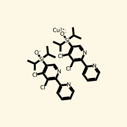 CC(C)[Si]([O-])(c1cnc(-c2ccccn2)c(Cl)c1Cl)C(C)C.CC(C)[Si]([O-])(c1cnc(-c2ccccn2)c(Cl)c1Cl)C(C)C.[Cu+2]